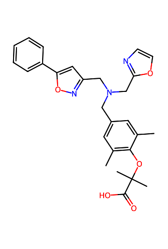 Cc1cc(CN(Cc2cc(-c3ccccc3)on2)Cc2ncco2)cc(C)c1OC(C)(C)C(=O)O